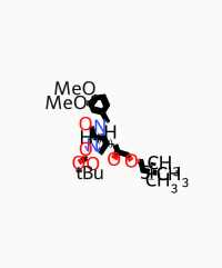 COc1ccc(CN2C(=O)[C@@H]3[C@H]2[C@H](CC(=O)COCC[Si](C)(C)C)CN3OC(=O)OC(C)(C)C)cc1OC